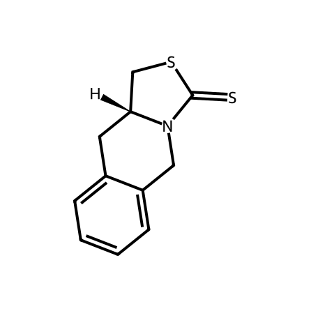 S=C1SC[C@H]2Cc3ccccc3CN12